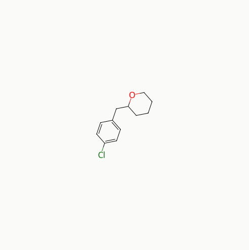 Clc1ccc(CC2CCCCO2)cc1